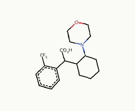 O=C(O)C(c1ccccc1C(F)(F)F)C1CCCCC1N1CCOCC1